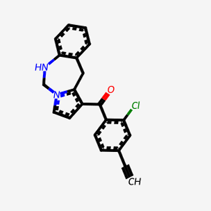 C#Cc1ccc(C(=O)c2ccn3c2Cc2ccccc2NC3)c(Cl)c1